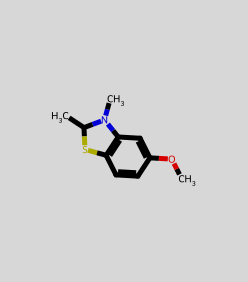 COc1ccc2c(c1)N(C)C(C)S2